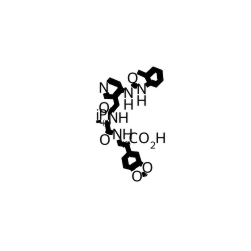 Cc1ccccc1NC(=O)Nc1ccncc1CC(=O)N[C@@H](CC(C)C)C(=O)NC[C@@H](C(=O)O)c1ccc2c(c1)OCO2